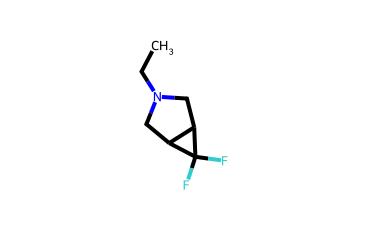 CCN1CC2C(C1)C2(F)F